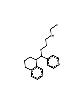 CC(C)CNCCCC(c1ccccc1)C1CCCc2ccccc21